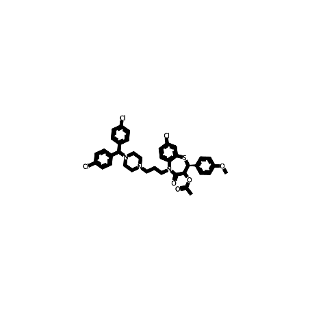 COc1ccc([C@@H]2Sc3cc(Cl)ccc3N(CCCN3CCN(C(c4ccc(Cl)cc4)c4ccc(Cl)cc4)CC3)C(=O)C2OC(C)=O)cc1